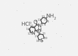 Cl.NC1CCC(NC(=O)c2cccnc2OC2CCSCC2)CC1